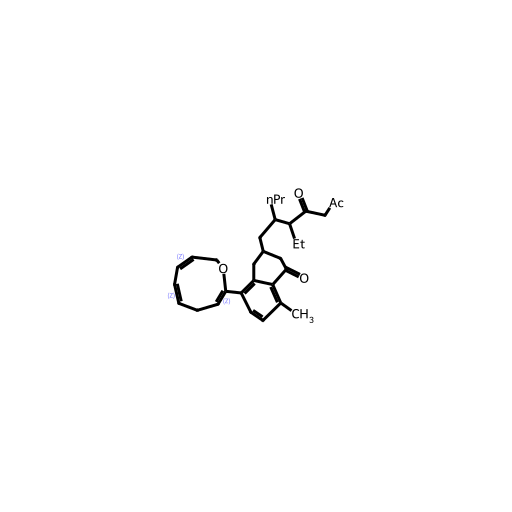 CCCC(CC1CC(=O)c2c(C)ccc(/C3=C/C/C=C\C=C/CO3)c2C1)C(CC)C(=O)CC(C)=O